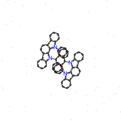 c1ccc(-n2c3ccccc3c3ccc4c5ccccc5n(-c5c6ccccc6c(-n6c7ccccc7c7ccc8c9ccccc9n(-c9ccccc9)c8c76)c6ccccc56)c4c32)cc1